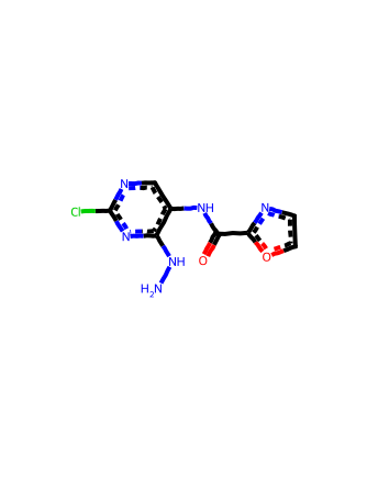 NNc1nc(Cl)ncc1NC(=O)c1ncco1